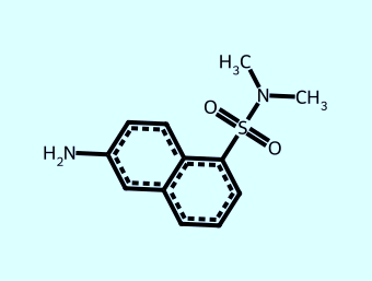 CN(C)S(=O)(=O)c1cccc2cc(N)ccc12